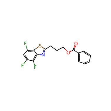 O=C(OCCCc1nc2c(F)c(F)cc(F)c2s1)c1ccccc1